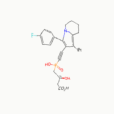 CC(C)c1c(C#CP(=O)(O)C[C@@H](O)CC(=O)O)c(-c2ccc(F)cc2)n2c1CCCC2